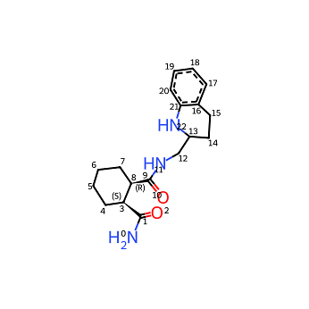 NC(=O)[C@H]1CCCC[C@H]1C(=O)NCC1CCc2ccccc2N1